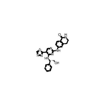 O=C1NCCc2cc(Nc3ncc(-c4nnco4)c(N[C@H](CO)c4ccccc4)n3)ccc21